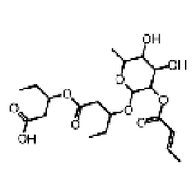 CC=CC(=O)OC1C(OC(CC)CC(=O)OC(CC)CC(=O)O)OC(C)C(O)C1O